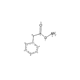 NOC(=O)Cc1ccccc1